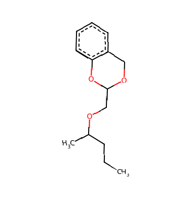 CCCC(C)OCC1OCc2ccccc2O1